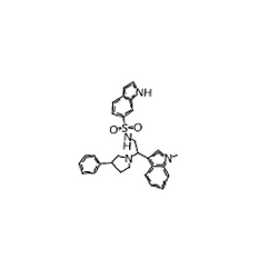 Cn1cc(C(CNS(=O)(=O)c2ccc3cc[nH]c3c2)N2CCC(c3ccccc3)C2)c2ccccc21